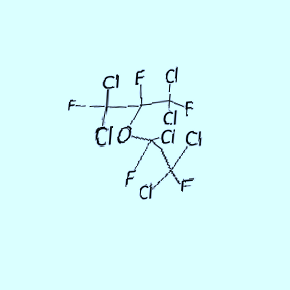 FC(Cl)(Cl)C(F)(Cl)OC(F)(C(F)(Cl)Cl)C(F)(Cl)Cl